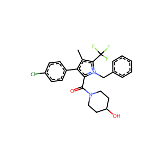 Cc1c(-c2ccc(Cl)cc2)c(C(=O)N2CCC(O)CC2)n(Cc2ccccc2)c1C(F)(F)F